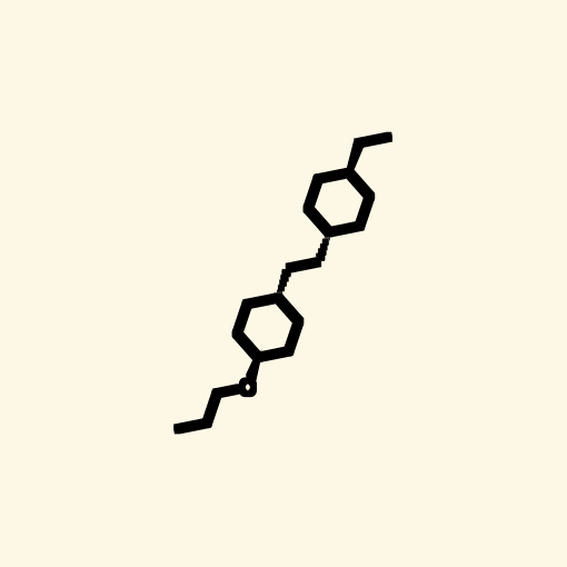 CCCO[C@H]1CC[C@H](CC[C@H]2CC[C@H](CC)CC2)CC1